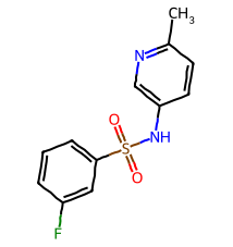 Cc1ccc(NS(=O)(=O)c2cccc(F)c2)cn1